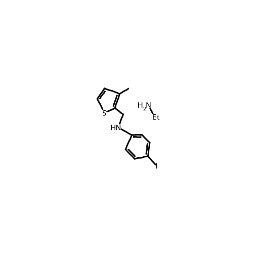 CCN.Cc1ccsc1CNc1ccc(I)cc1